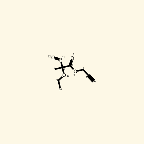 C#CCOC(=O)C(C)(OCC)P=O